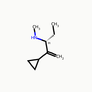 C=C(C1CC1)[C@@H](CC)NC